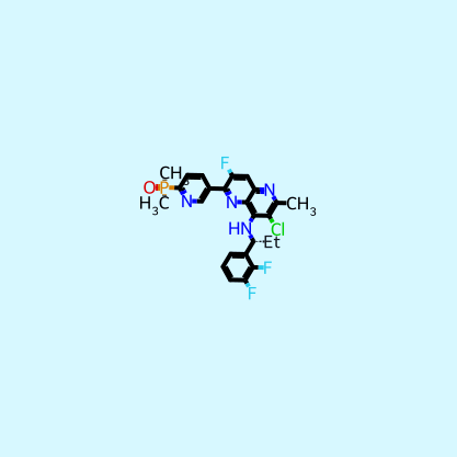 CC[C@@H](Nc1c(Cl)c(C)nc2cc(F)c(-c3ccc(P(C)(C)=O)nc3)nc12)c1cccc(F)c1F